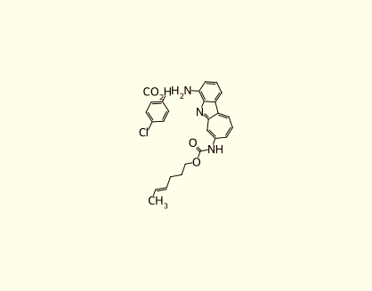 C/C=C/CCCOC(=O)Nc1cccc2c3cccc(N)c3nc-2c1.O=C(O)c1ccc(Cl)cc1